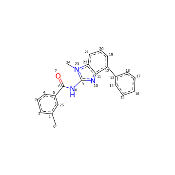 Cc1cccc(C(=O)Nc2nc3c(-c4ccccc4)cccc3n2C)c1